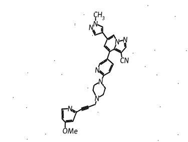 COc1ccnc(C#CCN2CCN(c3ccc(-c4cc(-c5cnn(C)c5)cn5ncc(C#N)c45)cn3)CC2)c1